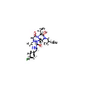 CCCCC(CC)CN1C[C@H]2N(C(=O)CN(C)N2C(=O)NCc2ccc(F)cc2)[C@@H](CC(C)C)C1=O